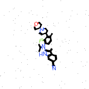 Cc1ccc(N(c2[nH]c3cc(C#N)ccc3c2C)C(C)C)c(F)c1C1CCN(C2CCOCC2)CC1